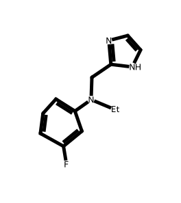 CCN(Cc1ncc[nH]1)c1cccc(F)c1